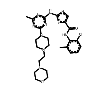 Cc1nc(Nc2ncc(C(=O)Nc3c(C)cccc3Cl)s2)nc(N2CCN(CCN3CCOCC3)CC2)n1